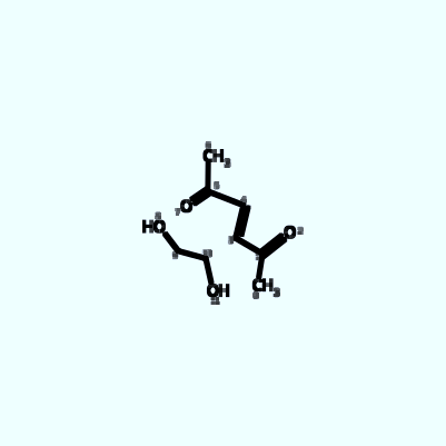 CC(=O)/C=C/C(C)=O.OCCO